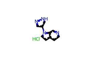 Cl.c1cc2ccn(-c3cn[nH]c3)c2cn1